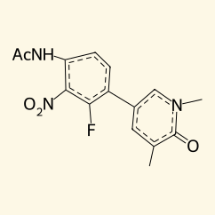 CC(=O)Nc1ccc(-c2cc(C)c(=O)n(C)c2)c(F)c1[N+](=O)[O-]